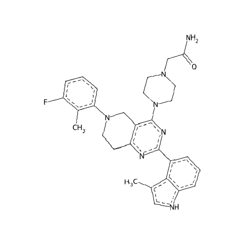 Cc1c(F)cccc1N1CCc2nc(-c3cccc4[nH]cc(C)c34)nc(N3CCN(CC(N)=O)CC3)c2C1